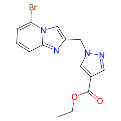 CCOC(=O)c1cnn(Cc2cn3c(Br)cccc3n2)c1